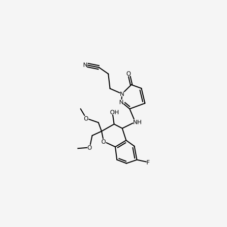 COCC1(COC)Oc2ccc(F)cc2C(Nc2ccc(=O)n(CCC#N)n2)C1O